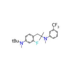 CN(c1ccc(CC(C)(C)N(C)c2cccc(C(F)(F)F)c2)c(F)c1)C(C)(C)C